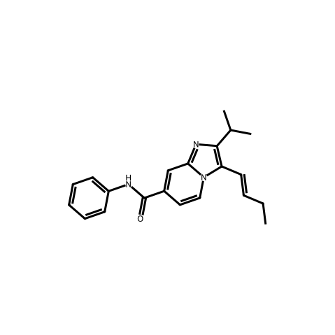 CCC=Cc1c(C(C)C)nc2cc(C(=O)Nc3ccccc3)ccn12